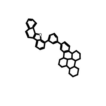 c1cc(-c2ccc3c(c2)C2CCCC4C5CCCCC5C5CCCC3C5C24)cc(-c2cccc3c2oc2c4ccccc4ccc32)c1